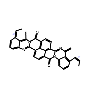 C=c1nc2c3ccc4c(=O)n5c(C)c6/c(=C\C)cccc6nc5c5ccc(c(=O)n2c2cccc(/C=C\C)c12)c3c45